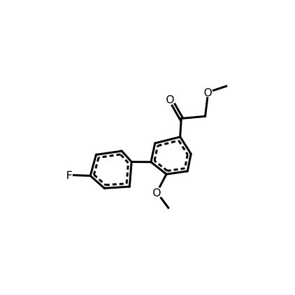 COCC(=O)c1ccc(OC)c(-c2ccc(F)cc2)c1